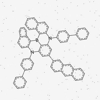 c1ccc(-c2ccc(N3c4cc(-c5ccc6cc7ccccc7cc6c5)cc5c4B(c4c3ccc3ccccc43)c3c(ccc4ccccc34)N5c3ccc(-c4ccccc4)cc3)cc2)cc1